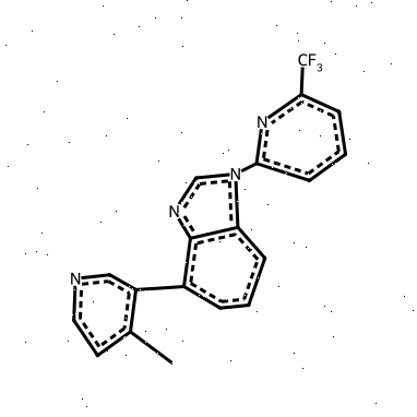 Cc1ccncc1-c1cccc2c1ncn2-c1cccc(C(F)(F)F)n1